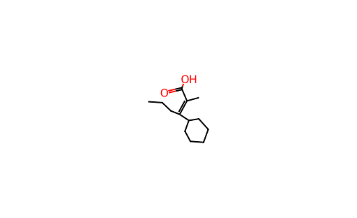 CCC/C(=C(/C)C(=O)O)C1CCCCC1